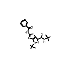 CC(C)(C)NC(=O)c1nn(C(C)(C)C)c2nc(NC(=O)c3ccccc3)sc12